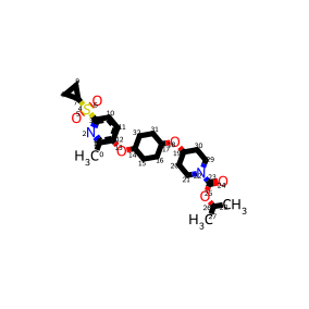 Cc1nc(S(=O)(=O)C2CC2)ccc1OC1CCC(OC2CCN(C(=O)OC(C)C)CC2)CC1